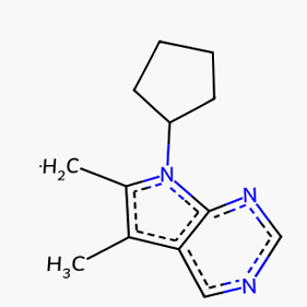 [CH2]c1c(C)c2cncnc2n1C1CCCC1